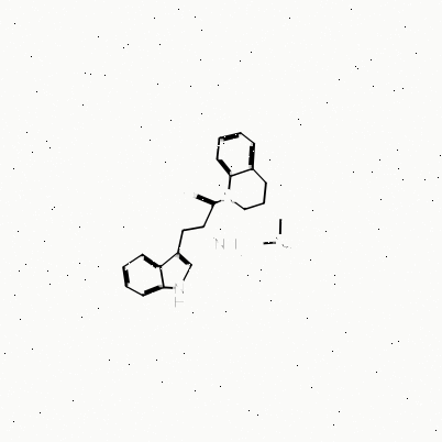 CN(C)C[C@H]1Cc2ccccc2N(C(=O)[C@H](N)Cc2c[nH]c3ccccc23)C1